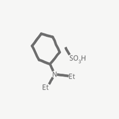 CCN(CC)C1CCCCC1.CS(=O)(=O)O